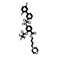 O=C(OCCCCN1CCOCC1)c1ccc(NS(=O)(=O)c2cccc(-c3cc(F)ccc3F)c2)cc1OC(=O)C(F)(F)F